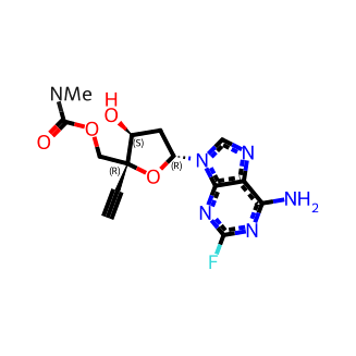 C#C[C@]1(COC(=O)NC)O[C@@H](n2cnc3c(N)nc(F)nc32)C[C@@H]1O